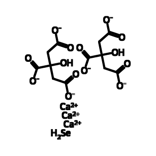 O=C([O-])CC(O)(CC(=O)[O-])C(=O)[O-].O=C([O-])CC(O)(CC(=O)[O-])C(=O)[O-].[Ca+2].[Ca+2].[Ca+2].[SeH2]